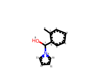 Cc1ccccc1C(O)n1cccc1